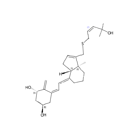 C=C1C(=CC=C2CCC[C@]3(C)C(CSC/C=C\C(C)(C)O)=CC[C@@H]23)C[C@@H](O)C[C@@H]1O